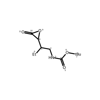 CCC(CNC(=O)OC(C)(C)C)C1OC1=O